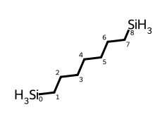 [SiH3]CCCCCCC[SiH3]